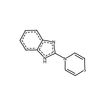 C1=CN(c2nc3ccccc3[nH]2)C=CS1